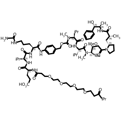 CC[C@H](C)[C@@H]([C@@H](CC(=O)N1CCC[C@H]1C[C@@H](C)C(=O)N[C@H](C)[C@@H](O)c1ccccc1)OC)N(C)C(=O)[C@@H](NC(=O)[C@H](C(C)C)N(C)C(=O)OCc1ccc(NC(=O)[C@H](CCCNC(N)=O)NC(=O)[C@@H](NC(=O)[C@H](CCC(=O)O)NC(=O)CCOCCOCCOCCOCCC(=O)C(C)C)C(C)C)cc1)C(C)C